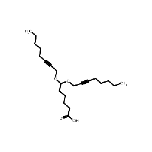 CCCCCC#CCOC(CCCCC(=O)O)OCC#CCCCCC